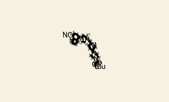 C[C@@H]1CN(c2ccc(C#N)c3ncccc23)C[C@H](C)N1Cc1ccc(N2CCN(C(=O)OC(C)(C)C)CC2)cn1